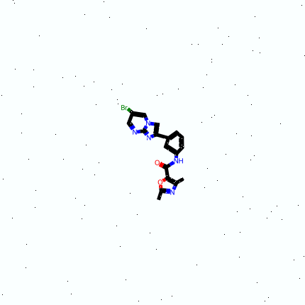 Cc1nc(C)c(C(=O)Nc2cccc(-c3cn4cc(Br)cnc4n3)c2)o1